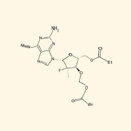 CCC(=O)OC[C@H]1O[C@@H](n2cnc3c(NC)nc(N)nc32)[C@](C)(F)[C@@H]1OCOC(=O)C(C)(C)C